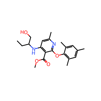 CCC(CO)Nc1cc(C)nc(Oc2c(C)cc(C)cc2C)c1C(=O)OC